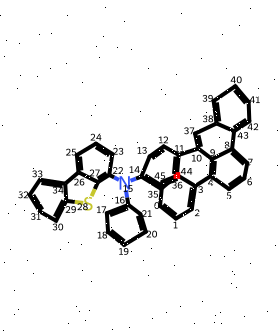 c1ccc(-c2cccc3c2c(-c2ccc(N(c4ccccc4)c4cccc5c4sc4ccccc45)cc2)cc2ccccc23)cc1